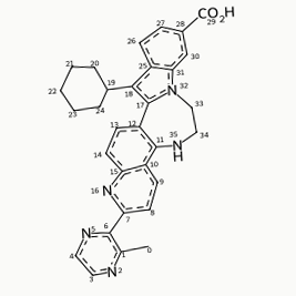 Cc1nccnc1-c1ccc2c3c(ccc2n1)-c1c(C2CCCCC2)c2ccc(C(=O)O)cc2n1CCN3